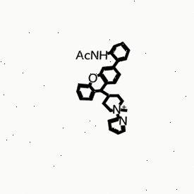 CC(=O)Nc1ccccc1-c1ccc2c(c1)Oc1ccccc1C2C1CC[N+](C)(c2ccccn2)CC1